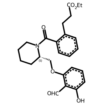 CCOC(=O)CCc1ccccc1C(=O)N1CCCC[C@H]1COc1cccc(O)c1C=O